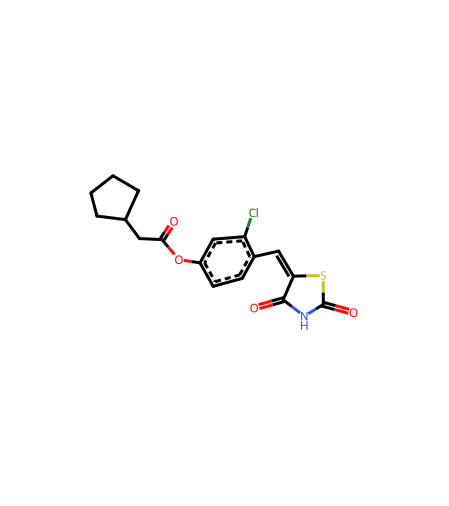 O=C(CC1CCCC1)Oc1ccc(C=C2SC(=O)NC2=O)c(Cl)c1